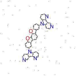 c1cnc2c3cnccc3n(-c3ccc4oc5c(ccc6c7cc(-n8c9ccncc9c9ncccc98)ccc7oc65)c4c3)c2c1